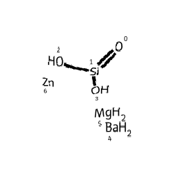 O=[Si](O)O.[BaH2].[MgH2].[Zn]